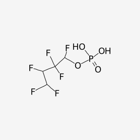 O=P(O)(O)OC(F)C(F)(F)C(F)C(F)F